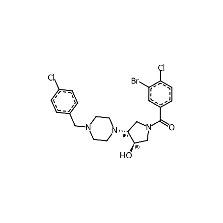 O=C(c1ccc(Cl)c(Br)c1)N1C[C@@H](O)[C@H](N2CCN(Cc3ccc(Cl)cc3)CC2)C1